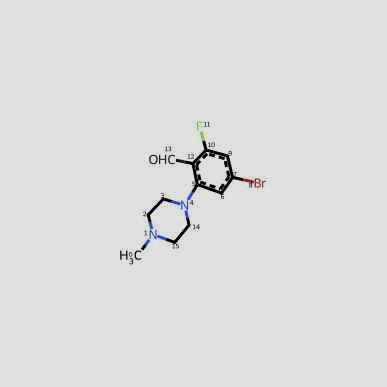 CN1CCN(c2cc(Br)cc(F)c2C=O)CC1